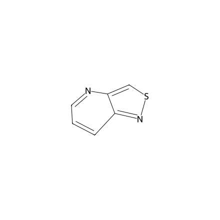 c1cnc2csnc2c1